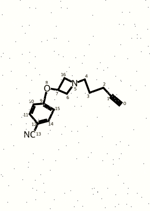 C#CCCCN1CC(Oc2ccc(C#N)cc2)C1